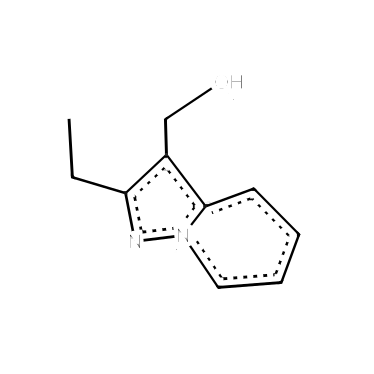 CCc1nn2ccccc2c1CO